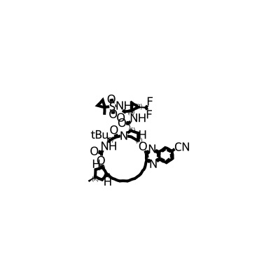 C[C@@H]1C[C@H]2CCCCCCc3nc4ccc(C#N)cc4nc3O[C@@H]3C[C@@H](C(=O)N[C@]4(C(=O)NS(=O)(=O)C5(C)CC5)C[C@H]4C(F)F)N(C3)C(=O)[C@H](C(C)(C)C)NC(=O)O[C@@H]2C1